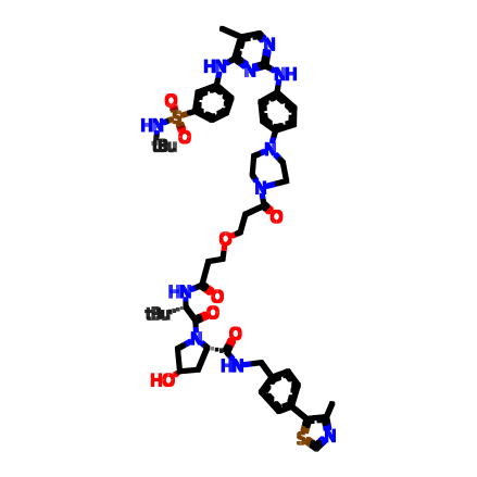 Cc1cnc(Nc2ccc(N3CCN(C(=O)CCOCCC(=O)N[C@H](C(=O)N4C[C@H](O)C[C@H]4C(=O)NCc4ccc(-c5scnc5C)cc4)C(C)(C)C)CC3)cc2)nc1Nc1cccc(S(=O)(=O)NC(C)(C)C)c1